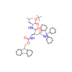 CC(C)C[C@H](NC(=O)/C(=C/NC(=O)OCC1c2ccccc2-c2ccccc21)CC(=O)NC(c1ccccc1)(c1ccccc1)c1ccccc1)C(=O)OC(C)(C)C